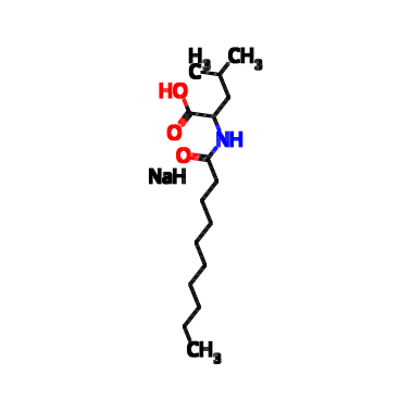 CCCCCCCCCC(=O)NC(CC(C)C)C(=O)O.[NaH]